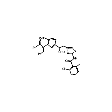 COc1ccc(C(C=O)Cc2csc(NC(=O)c3c(Cl)cccc3I)c2)cc1N(CC(C)C)C(=O)C(C)(C)C